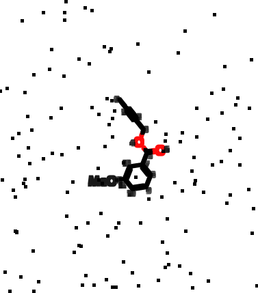 CC#CCOC(=O)c1cccc(OC)c1